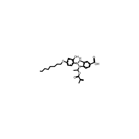 [CH2]C(OC(=O)C(=C)C)N1c2ccc(C(=O)O)cc2NN1c1ccc(OCCCCCCCC)cc1O